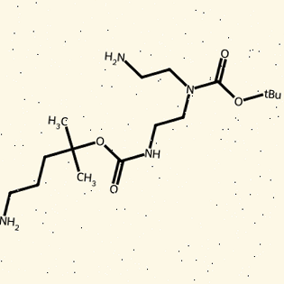 CC(C)(C)OC(=O)N(CCN)CCNC(=O)OC(C)(C)CCCN